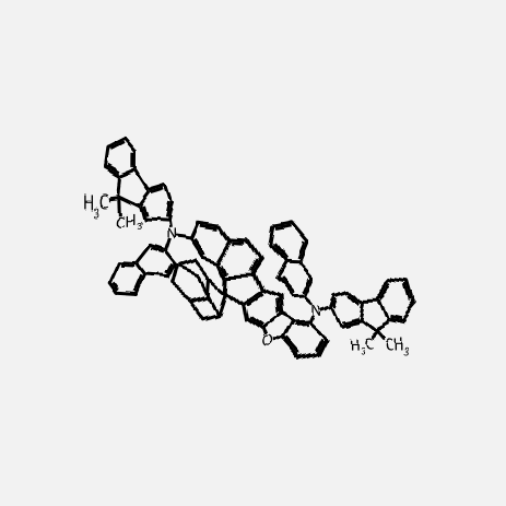 CC1(C)c2ccccc2-c2ccc(N(c3ccc4ccccc4c3)c3ccc4ccc5c(c4c3)C3(c4cc6oc7cccc(N(c8ccc9c(c8)C(C)(C)c8ccccc8-9)c8ccc9ccccc9c8)c7c6cc4-5)C4CC5CC(C4)CC3C5)cc21